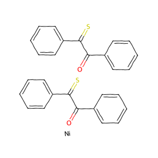 O=C(C(=S)c1ccccc1)c1ccccc1.O=C(C(=S)c1ccccc1)c1ccccc1.[Ni]